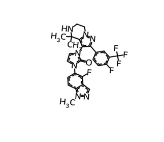 Cn1ncc2c(F)c(-n3ccn(-c4c(-c5ccc(F)c(C(F)(F)F)c5)nn5c4C(C)(C)NCC5)c3=O)ccc21